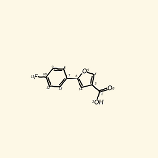 O=C(O)c1coc(-c2ccc(F)cc2)c1